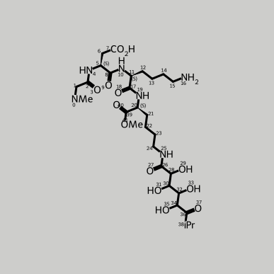 CNCC(=O)N[C@@H](CC(=O)O)C(=O)N[C@@H](CCCCN)C(=O)N[C@@H](CCCCNC(=O)C(O)C(O)C(O)C(O)C(=O)C(C)C)C(=O)OC